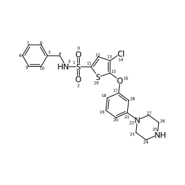 O=S(=O)(NCc1ccccc1)c1cc(Cl)c(Oc2cccc(N3CCNCC3)c2)s1